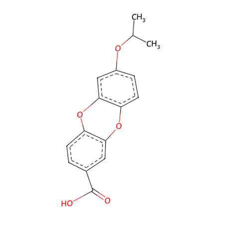 CC(C)Oc1ccc2c(c1)Oc1ccc(C(=O)O)cc1O2